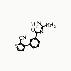 N#Cc1sccc1-c1cccc(C(=O)N=C(N)N)c1